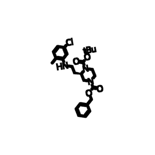 Cc1ccc(Cl)cc1NCC[C@@H]1CN(C(=O)OCc2ccccc2)CCN1C(=O)OC(C)(C)C